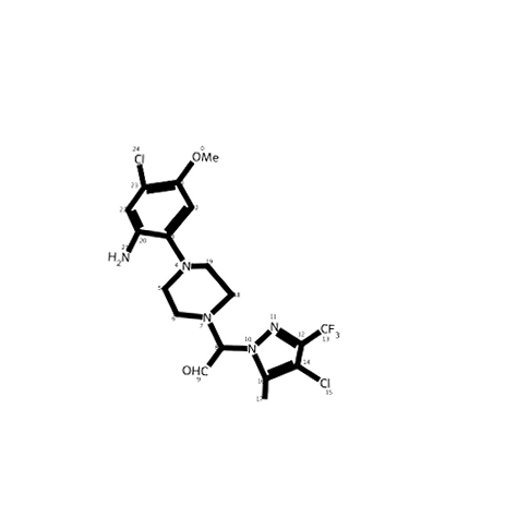 COc1cc(N2CCN(C(C=O)n3nc(C(F)(F)F)c(Cl)c3C)CC2)c(N)cc1Cl